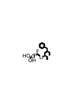 C=C(F)F.O=C(O)O.[Li][CH](C=C)C=C(C=C)Cc1ccccc1